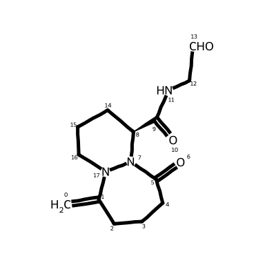 C=C1CCCC(=O)N2[C@H](C(=O)NCC=O)CCCN12